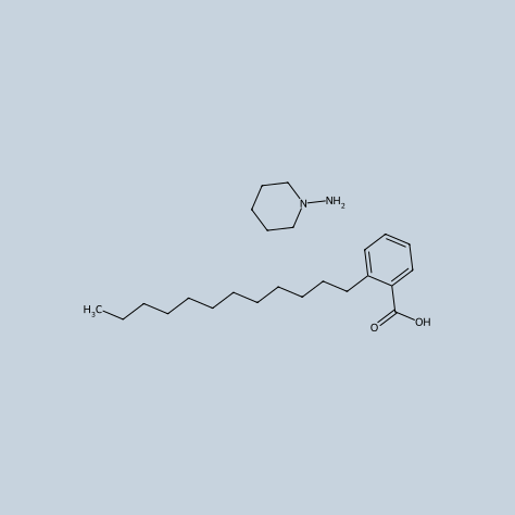 CCCCCCCCCCCCc1ccccc1C(=O)O.NN1CCCCC1